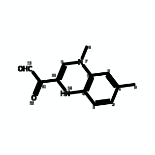 Cc1ccc2c(c1)N(C)C=C(C(=O)C=O)N2